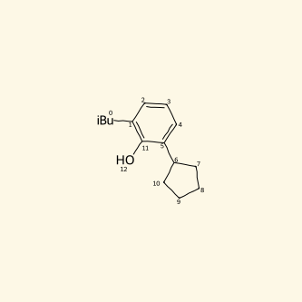 CCC(C)c1cccc(C2CCCC2)c1O